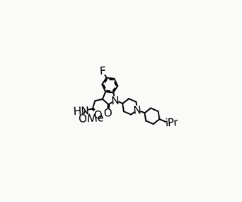 CONC(=O)CC1C(=O)N(C2CCN(C3CCC(C(C)C)CC3)CC2)c2ccc(F)cc21